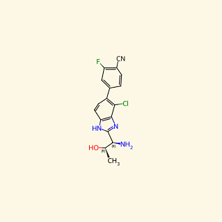 C[C@@H](O)[C@H](N)c1nc2c(Cl)c(-c3ccc(C#N)c(F)c3)ccc2[nH]1